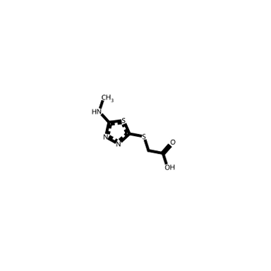 CNc1nnc(SCC(=O)O)s1